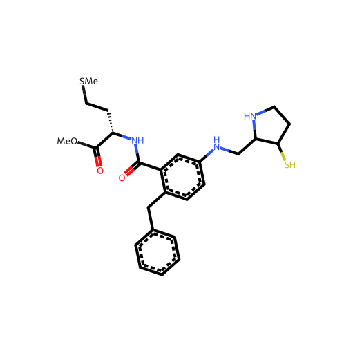 COC(=O)[C@H](CCSC)NC(=O)c1cc(NCC2NCCC2S)ccc1Cc1ccccc1